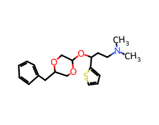 CN(C)CCC(OC1COC(Cc2ccccc2)CO1)c1cccs1